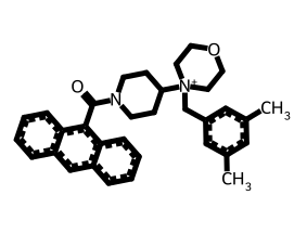 Cc1cc(C)cc(C[N+]2(C3CCN(C(=O)c4c5ccccc5cc5ccccc45)CC3)CCOCC2)c1